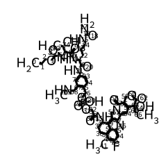 C=CCOC(=O)N[C@H](C(=O)N[C@@H](CCCNC(N)=O)C(=O)Nc1ccc(COP(=O)(O)OCC(=O)N[C@H]2CCc3c(C)c(F)cc4nc5c(c2c34)Cn2c-5cc3c(c2=O)COC(=O)[C@]3(O)CC)c(CNC)c1)C(C)C